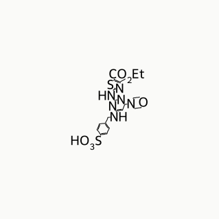 CCOC(=O)c1sc(Nc2nc(NCc3ccc(S(=O)(=O)O)cc3)cc(N3CCOCC3)n2)nc1C